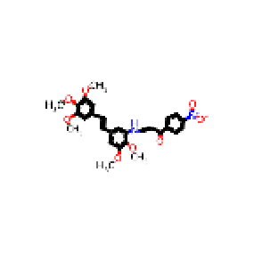 COc1cc(C=Cc2cc(OC)c(OC)c(OC)c2)cc(NC=CC(=O)c2ccc([N+](=O)[O-])cc2)c1OC